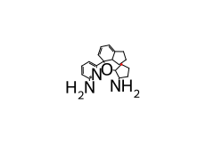 Nc1cccc(C2(OC3CCCC3N)C=CC=C3CCCC32)n1